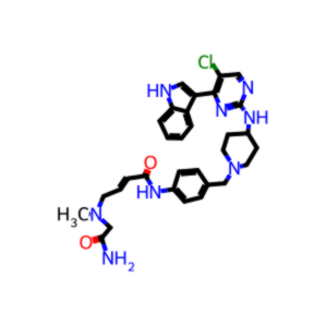 CN(C/C=C/C(=O)Nc1ccc(CN2CCC(Nc3ncc(Cl)c(-c4c[nH]c5ccccc45)n3)CC2)cc1)CC(N)=O